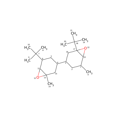 CC1CC(C2CC(C(C)(C)C)C3OC3(C)C2)CC2(C(C)(C)C)OC12